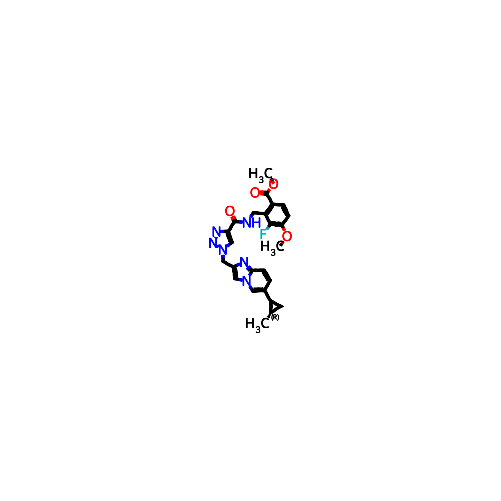 COC(=O)c1ccc(OC)c(F)c1CNC(=O)c1cn(Cc2cn3cc(C4C[C@H]4C)ccc3n2)nn1